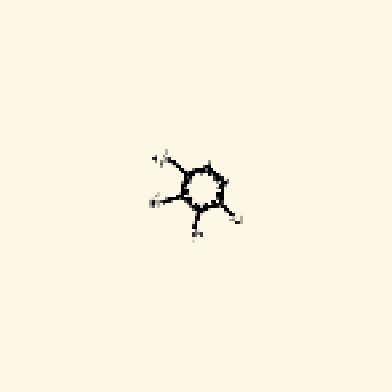 CC(C)c1c([SiH3])ccc(Cl)c1C(C)C